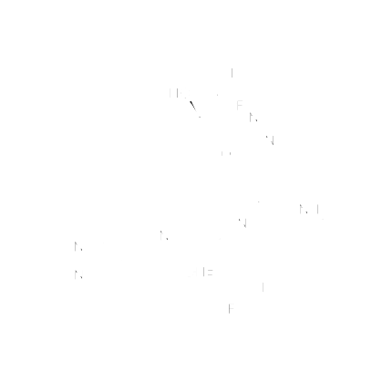 Cn1cc(CN2CCCCC[C@](O)(C(F)(F)F)c3nnc(o3)-c3nc(c(C(F)(F)F)cc3N)C2O)cn1